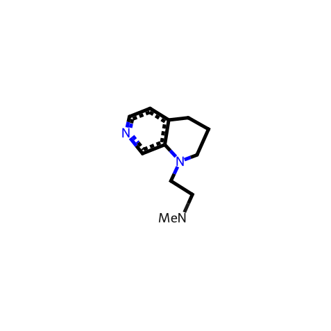 CNCCN1CCCc2ccncc21